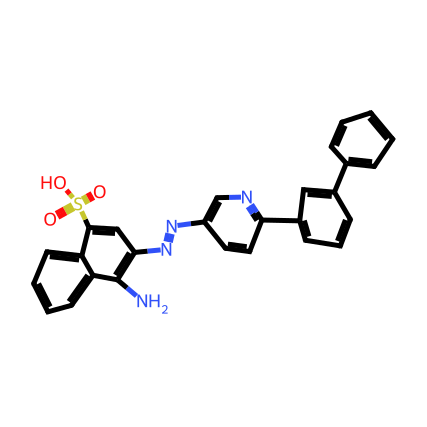 Nc1c(/N=N/c2ccc(-c3cccc(-c4ccccc4)c3)nc2)cc(S(=O)(=O)O)c2ccccc12